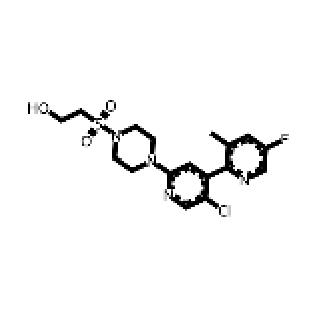 Cc1cc(F)cnc1-c1cc(N2CCN(S(=O)(=O)CCO)CC2)ncc1Cl